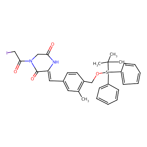 Cc1cc(C=C2NC(=O)CN(C(=O)CI)C2=O)ccc1CO[Si](c1ccccc1)(c1ccccc1)C(C)(C)C